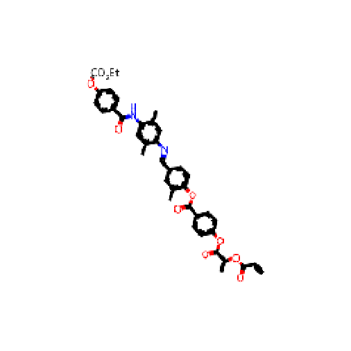 C=CC(=O)OC(C)C(=O)Oc1ccc(C(=O)Oc2ccc(/C=N/c3cc(C)c(NC(=O)c4ccc(OC(=O)OCC)cc4)cc3C)cc2C)cc1